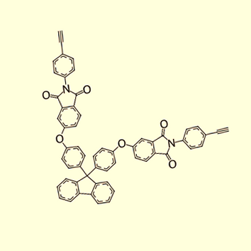 C#Cc1ccc(N2C(=O)c3ccc(Oc4ccc(C5(c6ccc(Oc7ccc8c(c7)C(=O)N(c7ccc(C#C)cc7)C8=O)cc6)c6ccccc6-c6ccccc65)cc4)cc3C2=O)cc1